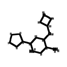 NC1CNC(C2CCCC2)CC1OC1COC1